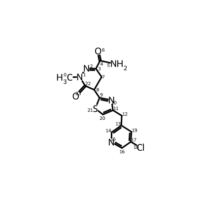 CN1N=C(C(N)=O)CC(c2nc(Cc3cncc(Cl)c3)cs2)C1=O